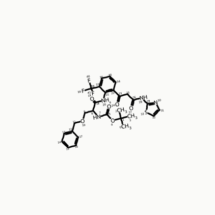 CC(C)(C)OC(=O)NC(COCc1ccccc1)C(=O)Nc1c(C(=O)CC(=O)Nc2nccs2)cccc1C(F)(F)F